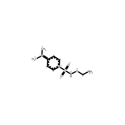 C[N+](C)=c1ccn(S(=O)(=O)BOCN)cc1